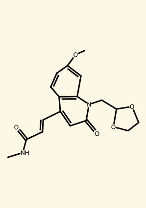 CNC(=O)/C=C/c1cc(=O)n(CC2OCCO2)c2cc(OC)ccc12